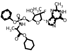 Cc1nc2c(ncn2[C@@H]2O[C@H](COP(=O)(NC(C)C(=O)OC3CCCCC3)Oc3ccccc3)[C@@H](O)[C@@]2(C)F)c(=O)[nH]1